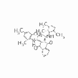 Cc1cc(C)c(Nc2ccc(Nc3c(C)ccc(C)c3C)c3c2C(=O)c2ccccc2C3=O)c(C)c1